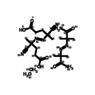 CC(C#N)(CCC(=O)O)N=NC(C)(C#N)CCC(=O)O.CC(C)(N=NC(C)(C)C(N)=O)C(N)=O.O.O